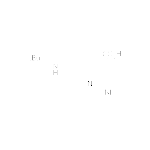 CC(C)(C)N/C=C(\N=N)C(=O)O